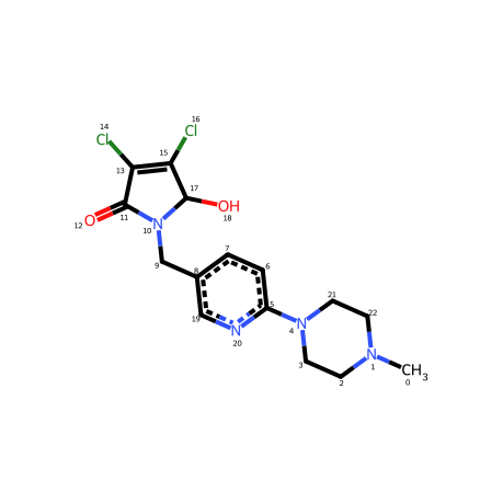 CN1CCN(c2ccc(CN3C(=O)C(Cl)=C(Cl)C3O)cn2)CC1